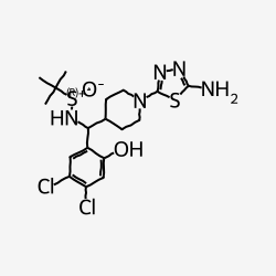 CC(C)(C)[S@+]([O-])NC(c1cc(Cl)c(Cl)cc1O)C1CCN(c2nnc(N)s2)CC1